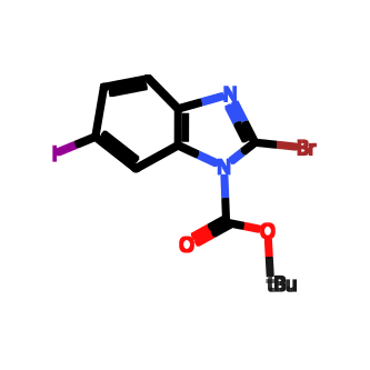 CC(C)(C)OC(=O)n1c(Br)nc2ccc(I)cc21